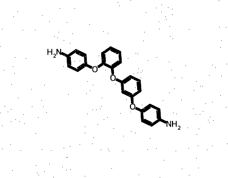 Nc1ccc(Oc2cccc(Oc3ccccc3Oc3ccc(N)cc3)c2)cc1